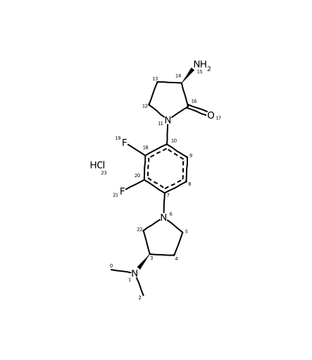 CN(C)[C@@H]1CCN(c2ccc(N3CC[C@@H](N)C3=O)c(F)c2F)C1.Cl